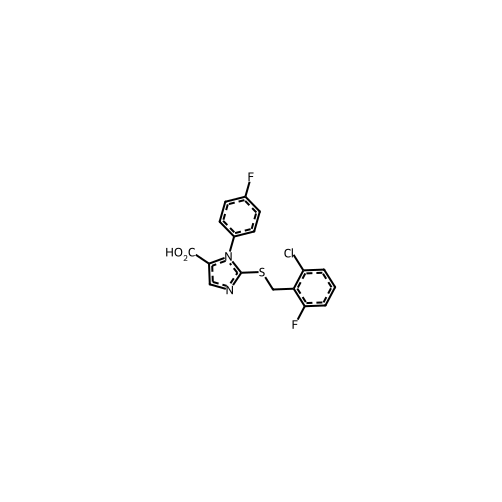 O=C(O)c1cnc(SCc2c(F)cccc2Cl)n1-c1ccc(F)cc1